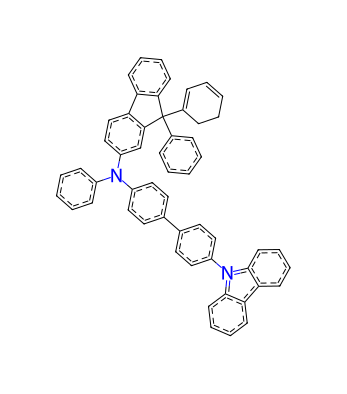 C1=CCCC(C2(c3ccccc3)c3ccccc3-c3ccc(N(c4ccccc4)c4ccc(-c5ccc(-n6c7ccccc7c7ccccc76)cc5)cc4)cc32)=C1